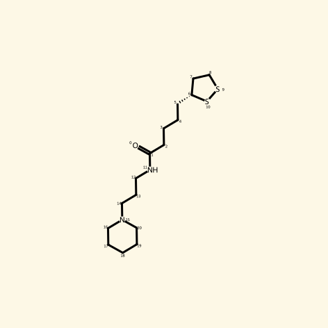 O=C(CCCC[C@@H]1CCSS1)NCCCN1CCCCC1